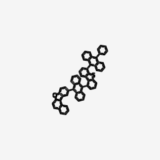 c1ccc(-c2c3ccccc3c(-c3cccc4c3sc3cccc(-c5c6ccccc6c(-c6ccc7oc8ccc9ccccc9c8c7c6)c6ccccc56)c34)c3ccccc23)cc1